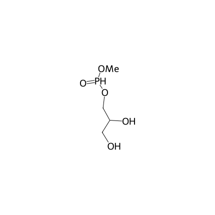 CO[PH](=O)OCC(O)CO